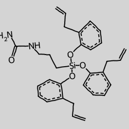 C=CCc1ccccc1O[Si](CCCNC(N)=O)(Oc1ccccc1CC=C)Oc1ccccc1CC=C